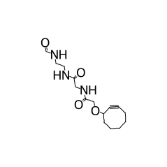 O=CNCCNC(=O)CNC(=O)COC1C#CCCCCC1